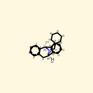 C[C@]12c3ccccc3C[C@H](c3ccccc31)N2CC1CCCCC1